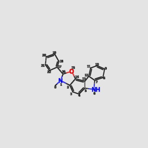 CN1c2ccc3[nH]c4ccccc4c3c2OC1c1ccccc1